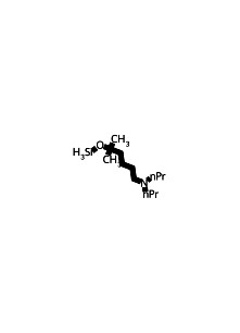 CCCN(CCC)CCCCC(C)(C)O[SiH3]